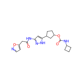 O=C(Cc1ccno1)Nc1cc(C2CCC(OC(=O)NC3CCC3)C2)[nH]n1